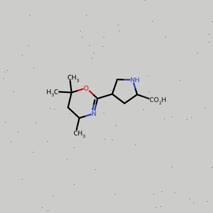 CC1CC(C)(C)OC(C2CNC(C(=O)O)C2)=N1